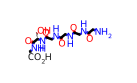 NCC(=O)NCC(=O)NCC(=O)NCC(=O)N[C@@H](CO)C(=O)NCC(=O)O